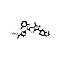 COC(=O)c1csc(NC(=O)[C@H](Cc2cccc(Cl)c2)N2C(=O)NC(c3ccc4c(c3)OCO4)C2=O)n1